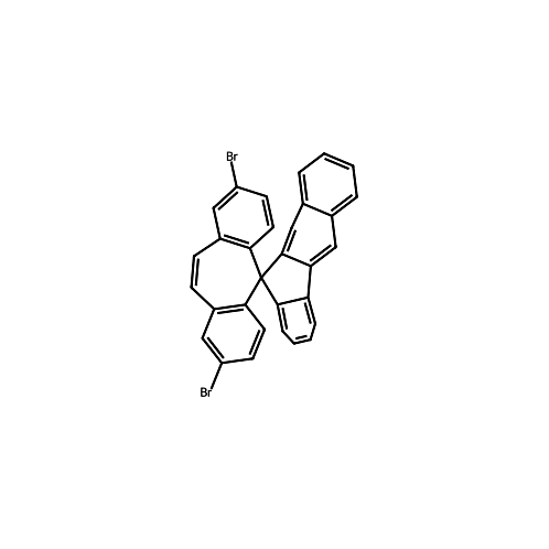 Brc1ccc2c(c1)C=Cc1cc(Br)ccc1C21c2ccccc2-c2cc3ccccc3cc21